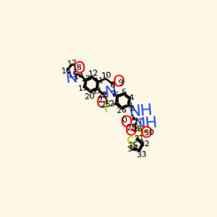 O=C(Nc1ccc(N2C(=O)Cc3cc(C4=NCCO4)ccc3C2=O)c(F)c1)NS(=O)(=O)c1cccs1